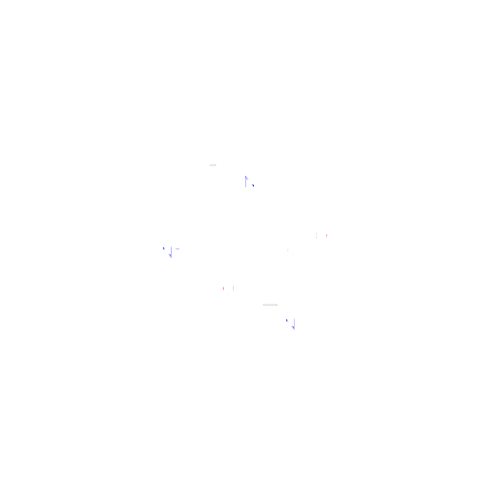 C=CCN(CC=C)c1ccc(SC2CCCCO2)c(-c2c3ccc(=[N+](CC)CC)cc-3oc3cc(N(CC)CC)ccc23)c1